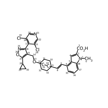 Cn1c(C(=O)O)cc2c(C=CC34CCC(OCc5c(-c6c(Cl)cncc6Cl)noc5C5CC5)(CC3)CC4)cccc21